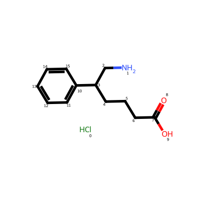 Cl.NCC(CCCC(=O)O)c1ccccc1